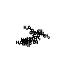 C=CCOC(=O)N(C)[C@H]1C[C@@H](C=C(C)C2=C(C(=O)O)N3C(=O)[C@H]([C@@H](C)O[Si](C)(C)C(C)(C)C)[C@H]3C2)N(C(=O)OCC=C)C1